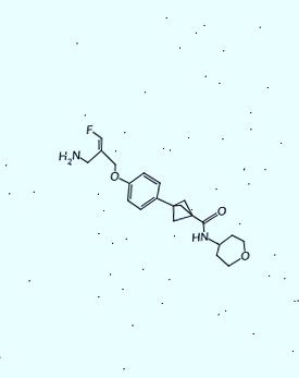 NC/C(=C\F)COc1ccc(C23CC(C(=O)NC4CCOCC4)(C2)C3)cc1